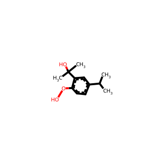 CC(C)c1ccc(OO)c(C(C)(C)O)c1